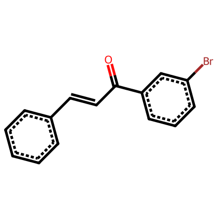 O=C(C=Cc1ccccc1)c1cccc(Br)c1